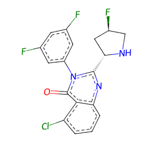 O=c1c2c(Cl)cccc2nc([C@@H]2C[C@@H](F)CN2)n1-c1cc(F)cc(F)c1